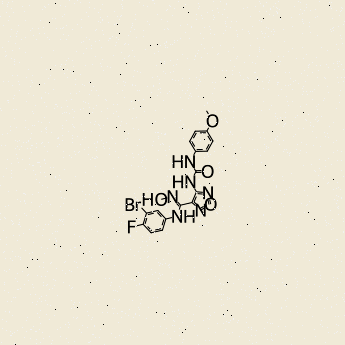 COc1ccc(NC(=O)Nc2nonc2/C(=N/O)Nc2ccc(F)c(Br)c2)cc1